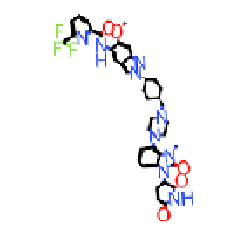 COc1cc2nn([C@H]3CC[C@H](CN4CCN(c5cccc6c5n(C)c(=O)n6C5CCC(=O)NC5=O)CC4)CC3)cc2cc1NC(=O)c1cccc(C(F)(F)F)n1